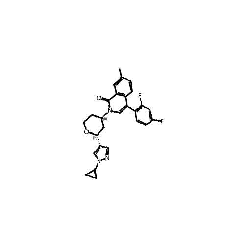 Cc1ccc2c(-c3ccc(F)cc3F)cn([C@@H]3CCO[C@@H](c4cnn(C5CC5)c4)C3)c(=O)c2c1